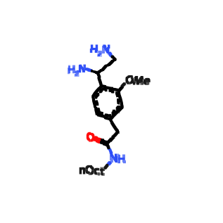 CCCCCCCCNC(=O)Cc1ccc(C(N)CN)c(OC)c1